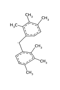 Cc1ccc([CH]c2ccc(C)c(C)c2C)c(C)c1C